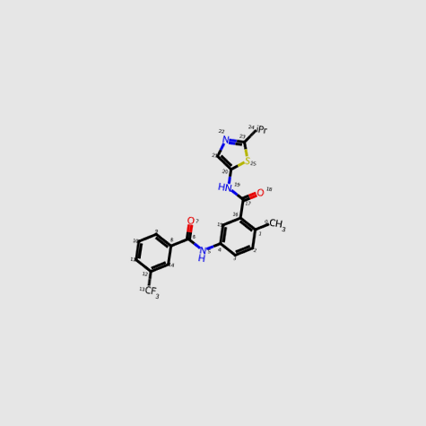 Cc1ccc(NC(=O)c2cccc(C(F)(F)F)c2)cc1C(=O)Nc1cnc(C(C)C)s1